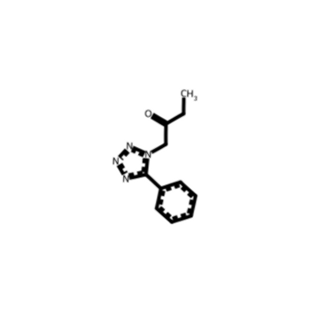 CCC(=O)Cn1nnnc1-c1ccccc1